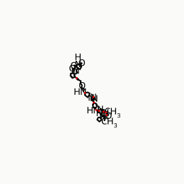 CC[C@@H]1C(=O)N(C)c2cnc(Nc3ccc(-c4cn([C@H]5CC[C@@H](NCCOCCC#Cc6cccc7c6CN(C6CCC(=O)NC6=O)C7=O)CC5)nn4)cc3)nc2N1C1CCCC1